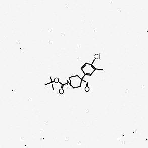 Cc1cc(C2(C=O)CCN(C(=O)OC(C)(C)C)CC2)ccc1Cl